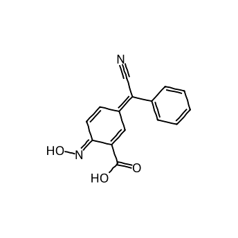 N#CC(=C1C=CC(=NO)C(C(=O)O)=C1)c1ccccc1